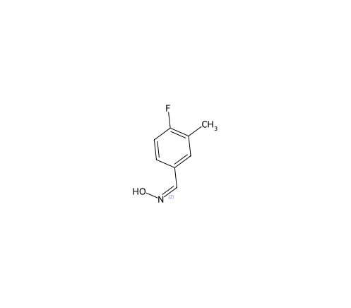 Cc1cc(/C=N\O)ccc1F